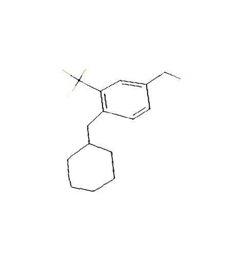 FC(F)(F)c1cc(CCl)ccc1CC1CCCCC1